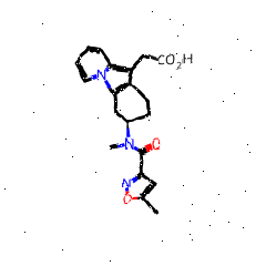 Cc1cc(C(=O)N(C)[C@@H]2CCc3c(CC(=O)O)c4ccccn4c3C2)no1